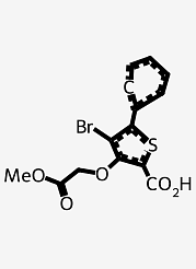 COC(=O)COc1c(C(=O)O)sc(-c2ccccc2)c1Br